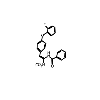 O=C(O)/C(=C/c1ccc(Oc2ccccc2F)cc1)NC(=O)c1ccccc1